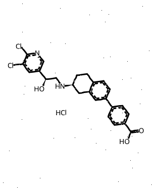 Cl.O=C(O)c1ccc(-c2ccc3c(c2)C[C@@H](NC[C@@H](O)c2cnc(Cl)c(Cl)c2)CC3)cc1